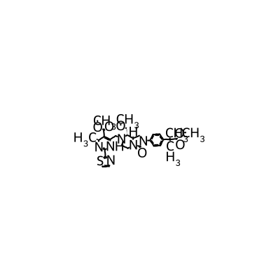 COC[C@@H]1[C@H]2CN(c3ccc(C(C)(C)C(=O)OC)cc3)C(=O)N2CCN1CC1=C(C(=O)OC)[C@H](C)N=C(c2nccs2)N1